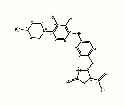 Cc1c(Nc2ccc(CC3NC(=O)CC3C(N)=O)cc2)ccc(N2CCC(C(F)(F)F)CC2)c1Cl